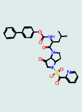 CC(C)CC(NC(=O)Oc1ccc(-c2ccccc2)cc1)C(=O)N1CCC2C1C(=O)CN2S(=O)(=O)C(=O)c1ccccn1